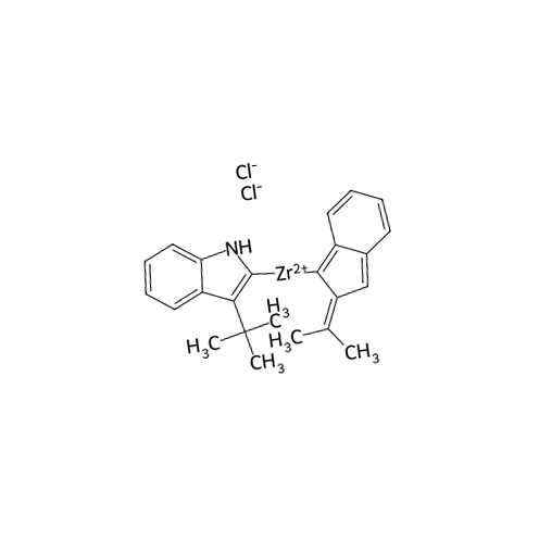 CC(C)=C1C=c2ccccc2=[C]1[Zr+2][c]1[nH]c2ccccc2c1C(C)(C)C.[Cl-].[Cl-]